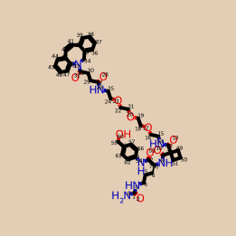 NC(=O)NCCC[C@H](NC(=O)C1(C(=O)NCCOCCOCCOCCNC(=O)CCC(=O)N2Cc3ccccc3C#Cc3ccccc32)CCC1)C(=O)Nc1ccc(CO)cc1